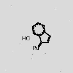 Cl.[Ru]=[C]1C=Cc2ccccc21